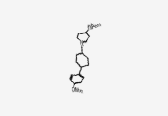 CCCCCC1CCN(C2CCC(c3ccc(OC)cc3)CC2)CC1